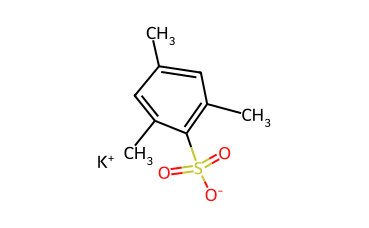 Cc1cc(C)c(S(=O)(=O)[O-])c(C)c1.[K+]